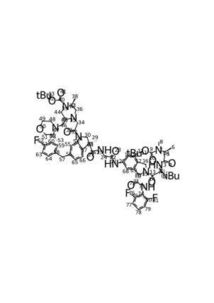 CC[C@H](C)[C@H](NC(=O)[C@H](C)N(C)C(=O)OC(C)(C)C)C(=O)N1Cc2ccc(NC(=O)CNC(=O)[C@]3(C)CN(C(=O)CN4C[C@H](C)N(C(=O)OC(C)(C)C)C[C@@H]4CN4CCOC[C@H]4C)c4cc(Cc5ccc(F)cc5)ccc43)cc2[C@H]1C(=O)Nc1c(F)cccc1F